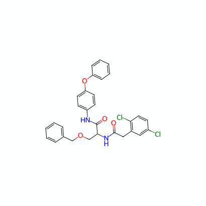 O=C(Cc1cc(Cl)ccc1Cl)NC(COCc1ccccc1)C(=O)Nc1ccc(Oc2ccccc2)cc1